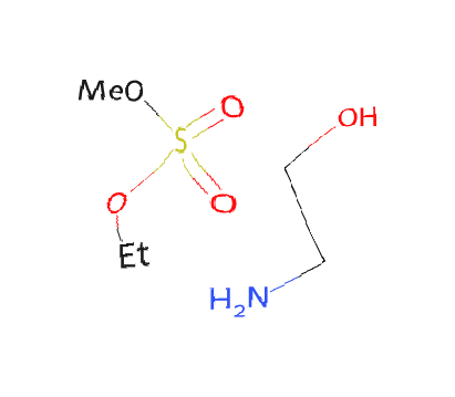 CCOS(=O)(=O)OC.NCCO